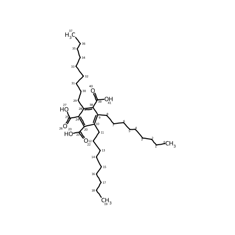 CCCCCCCCCc1c(CCCCCCCCC)c(C(=O)O)c(C(=O)O)c(CCCCCCCCC)c1C(=O)O